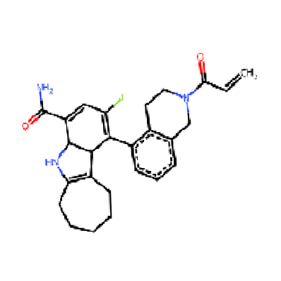 C=CC(=O)N1CCc2c(cccc2C2=C(F)C=C(C(N)=O)C3NC4=C(CCCCC4)C23)C1